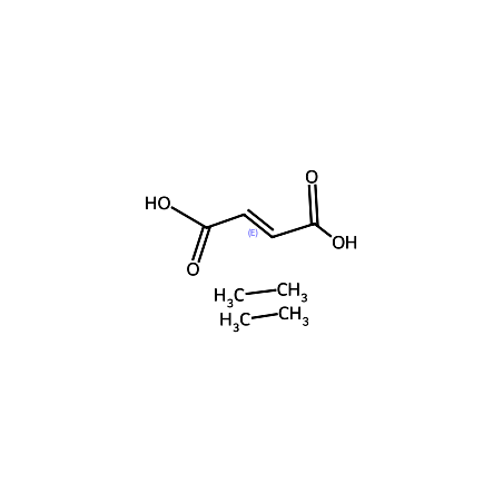 CC.CC.O=C(O)/C=C/C(=O)O